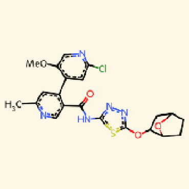 COc1cnc(Cl)cc1-c1cc(C)ncc1C(=O)Nc1nnc(OC2CC3CCC2O3)s1